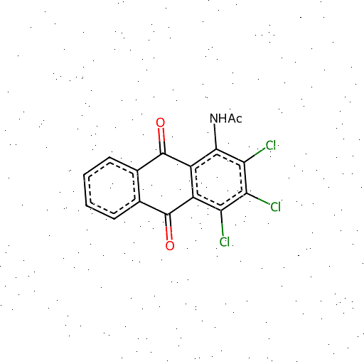 CC(=O)Nc1c(Cl)c(Cl)c(Cl)c2c1C(=O)c1ccccc1C2=O